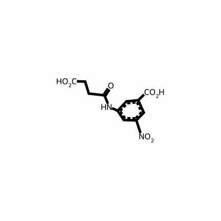 O=C(O)CCC(=O)Nc1cc(C(=O)O)cc([N+](=O)[O-])c1